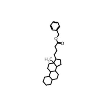 CC12CCC3C4CCCCC4CCC3C1CCC2CCCC(=O)OCc1ccccc1